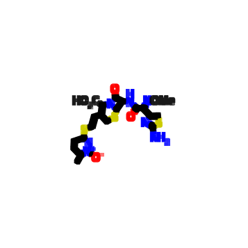 CON=C(C(=O)NC1C(=O)N2C(C(=O)O)=C(C=CSc3ccc(C)[n+]([O-])n3)CSC12)c1csc(N)n1